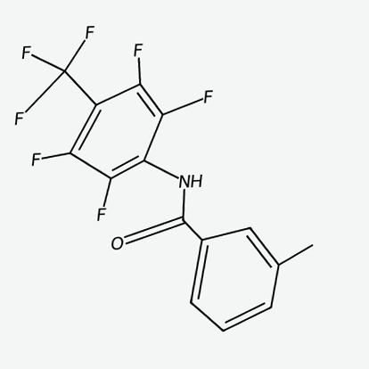 Cc1cccc(C(=O)Nc2c(F)c(F)c(C(F)(F)F)c(F)c2F)c1